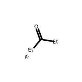 CCC(=O)CC.[K]